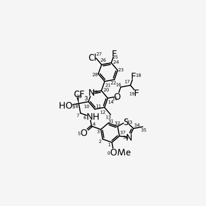 COc1cc(C(=O)NC[C@](O)(c2cc(C)c(OCC(F)F)c(-c3ccc(F)c(Cl)c3)n2)C(F)(F)F)cc2sc(C)nc12